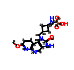 COc1ccc2c(ncc3[nH]c(=O)n(CC4CC(NS(=O)(=O)O)C4)c32)n1